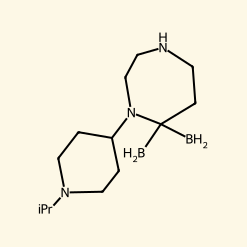 BC1(B)CCNCCN1C1CCN(C(C)C)CC1